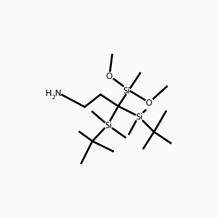 CO[Si](C)(OC)C(CCN)([Si](C)(C)C(C)(C)C)[Si](C)(C)C(C)(C)C